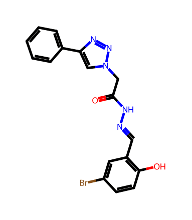 O=C(Cn1cc(-c2ccccc2)nn1)NN=Cc1cc(Br)ccc1O